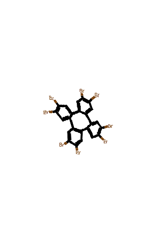 Brc1cc2c(cc1Br)-c1cc(Br)c(Br)cc1-c1cc(Br)c(Br)cc1-c1cc(Br)c(Br)cc1-2